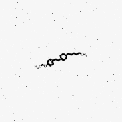 CCCCCCC1CC=C(CCc2ccc(OCC)cc2)CC1